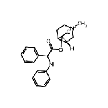 C[N+]12CCC(CC1)[C@@H](OC(=O)C(Nc1ccccc1)c1ccccc1)C2